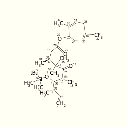 C=C[C@H](C)[C@H](O[Si](C)(C)C(C)(C)C)[C@@H](C)C(=O)C(C)(C)[C@@H](C)CC(=O)OC1CC=C(C(F)(F)F)CC=C1C